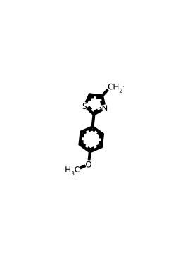 [CH2]c1csc(-c2ccc(OC)cc2)n1